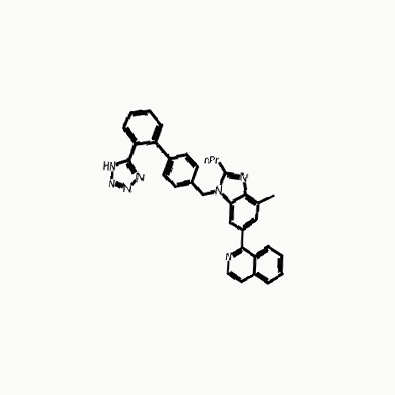 CCCc1nc2c(C)cc(-c3nccc4ccccc34)cc2n1Cc1ccc(-c2ccccc2-c2nnn[nH]2)cc1